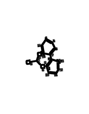 CC(Cl)Cl.c1ccc(-c2ccccn2)nc1